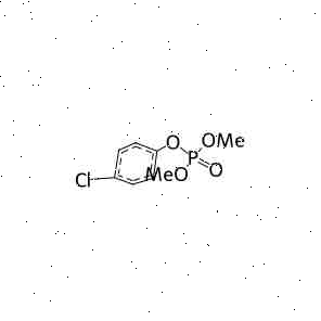 COP(=O)(OC)Oc1ccc(Cl)cc1